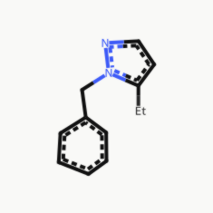 CCc1ccnn1Cc1ccccc1